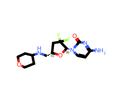 Nc1ccn([C@@H]2O[C@H](CNC3CCOCC3)CC2(F)F)c(=O)n1